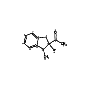 CC(=O)C1(Br)Cc2ccccc2C1C